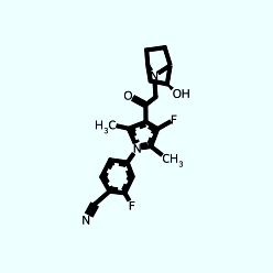 Cc1c(F)c(C(=O)CN2C3CCC2[C@@H](O)C3)c(C)n1-c1ccc(C#N)c(F)c1